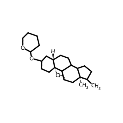 CC1CCC2C3CC[C@H]4CC(OC5CCCCO5)CC[C@]4(C)C3CC[C@]12C